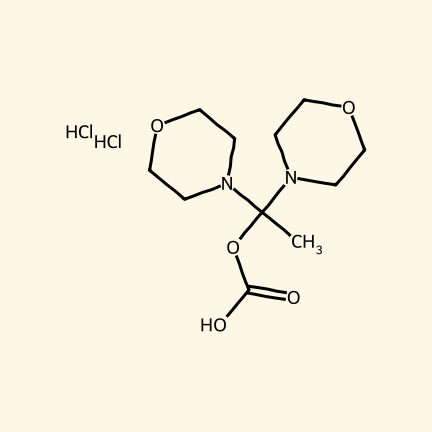 CC(OC(=O)O)(N1CCOCC1)N1CCOCC1.Cl.Cl